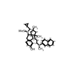 CSN(CC1CC1)C1Cc2ccc(O)cc2CC12CC(C)CC2(C)CCCN(C)c1ccc2ccccc2c1